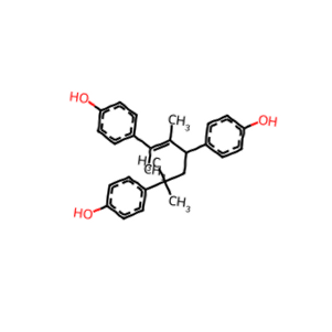 CC(=C(C)C(CC(C)(C)c1ccc(O)cc1)c1ccc(O)cc1)c1ccc(O)cc1